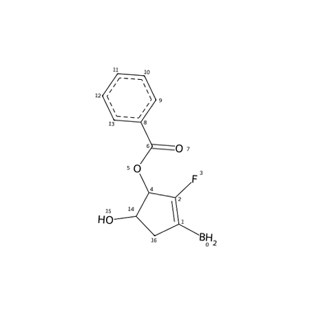 BC1=C(F)C(OC(=O)c2ccccc2)C(O)C1